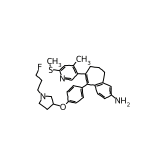 CSc1cc(C)c(C2=C(c3ccc(OC4CCN(CCCF)C4)cc3)c3ccc(N)cc3CCC2)cn1